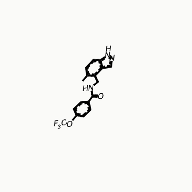 Cc1ccc2[nH]ncc2c1CNC(=O)c1ccc(OC(F)(F)F)cc1